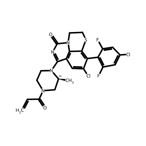 C=CC(=O)N1CCN(c2nc(=O)n3c4c(c(-c5c(F)cc(Cl)cc5F)c(Cl)cc24)SCC3)[C@@H](C)C1